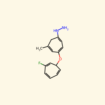 CC1=CC(OC2C=CC=CC(F)=C2)=CC=C(NN)C1